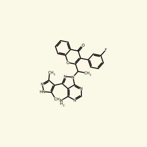 Cc1n[nH]c(C)c1-c1nn(C(C)c2oc3ccccc3c(=O)c2-c2cccc(F)c2)c2ncnc(N)c12